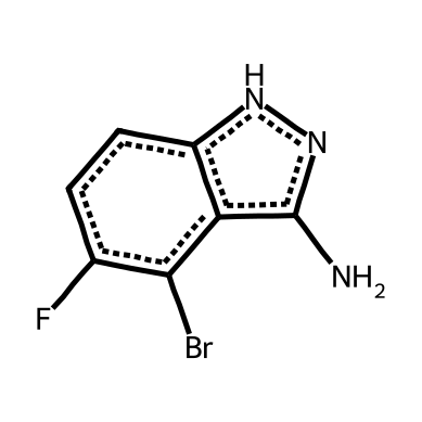 Nc1n[nH]c2ccc(F)c(Br)c12